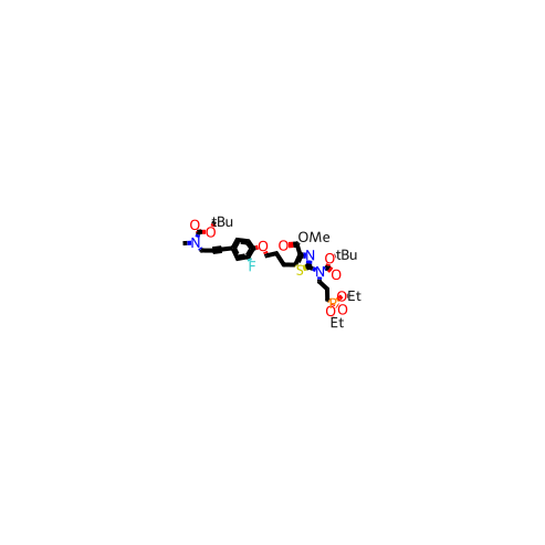 CCOP(=O)(CCCN(C(=O)OC(C)(C)C)c1nc(C(=O)OC)c(CCCOc2ccc(C#CCN(C)C(=O)OC(C)(C)C)cc2F)s1)OCC